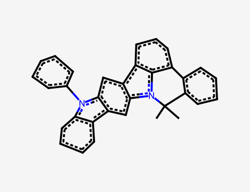 CC1(C)c2ccccc2-c2cccc3c4cc5c(cc4n1c23)c1ccccc1n5-c1ccccc1